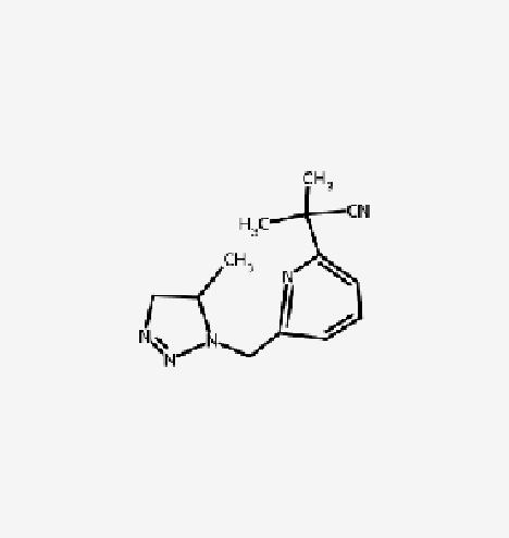 CC1CN=NN1Cc1cccc(C(C)(C)C#N)n1